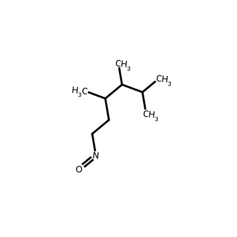 CC(C)C(C)C(C)CCN=O